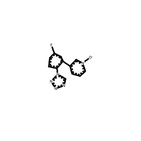 [O-][n+]1cccc(-c2cc(F)ccc2-n2cnnn2)c1